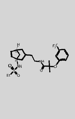 CCS(=O)(=O)N[C@]12CC[C@@H](CC(CCNC(=O)C(C)(C)Oc3cccc(C(F)(F)F)c3)C1)C2